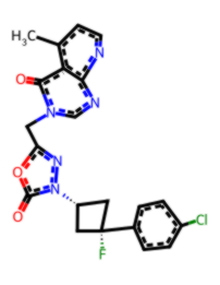 Cc1ccnc2ncn(Cc3nn([C@H]4C[C@](F)(c5ccc(Cl)cc5)C4)c(=O)o3)c(=O)c12